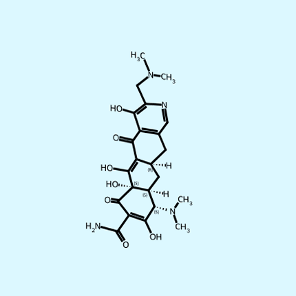 CN(C)Cc1ncc2c(c1O)C(=O)C1=C(O)[C@]3(O)C(=O)C(C(N)=O)=C(O)[C@@H](N(C)C)[C@@H]3C[C@@H]1C2